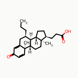 CCC[C@@H]1CC2=CC(=O)C=C[C@]2(C)[C@H]2CC[C@]3(C)[C@H](CCC(=O)O)CC[C@H]3[C@H]12